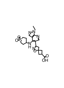 CCn1ncc2c(NC3CCS(=O)(=O)CC3)c(C3=NOC4(C3)CC(C(=O)O)C4)cnc21